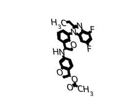 CCc1nc2c(F)cc(F)cc2n1-c1cccc2c1OC[C@H]2Nc1ccc2c(c1)OC[C@H]2OC(C)=O